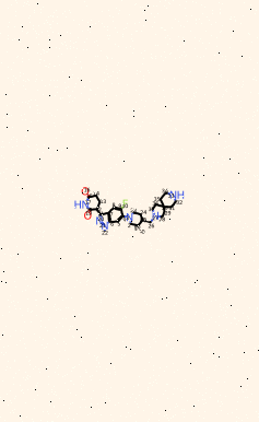 C[C@@H]1CN(c2cc3c(cc2F)c(C2CCC(=O)NC2=O)nn3C)CC[C@H]1CN1CCC2(CCNCC2)CC1